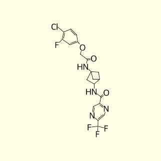 O=C(COc1ccc(Cl)c(F)c1)NC12CC(C1)C(NC(=O)c1cnc(C(F)(F)F)cn1)C2